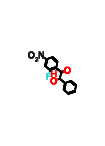 O=C(c1ccc([N+](=O)[O-])cc1F)C(O)c1ccccc1